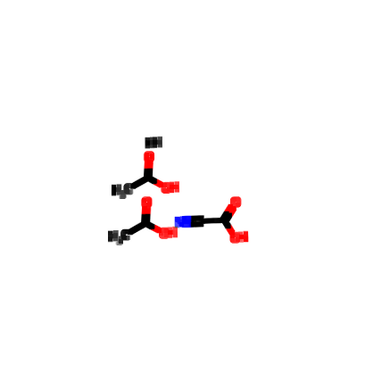 CC(=O)O.CC(=O)O.N#CC(=O)O.[HH]